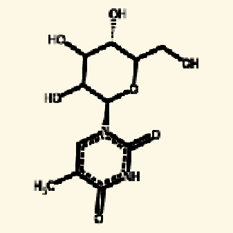 Cc1cn([C@@H]2OC(CO)[C@@H](O)C(O)C2O)c(=O)[nH]c1=O